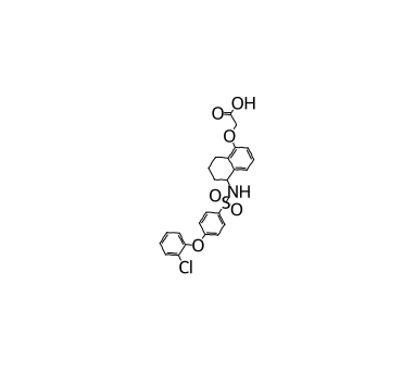 O=C(O)COc1cccc2c1CCCC2NS(=O)(=O)c1ccc(Oc2ccccc2Cl)cc1